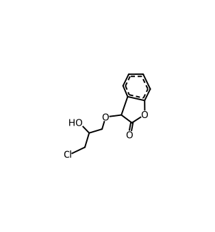 O=C1Oc2ccccc2C1OCC(O)CCl